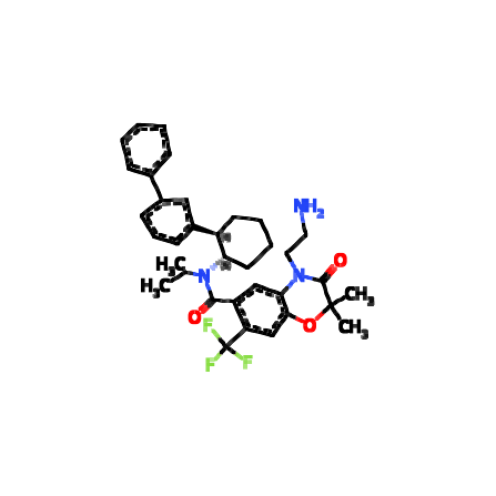 CC(C)N(C(=O)c1cc2c(cc1C(F)(F)F)OC(C)(C)C(=O)N2CCN)[C@H]1CCCC[C@@H]1c1cccc(-c2ccccc2)c1